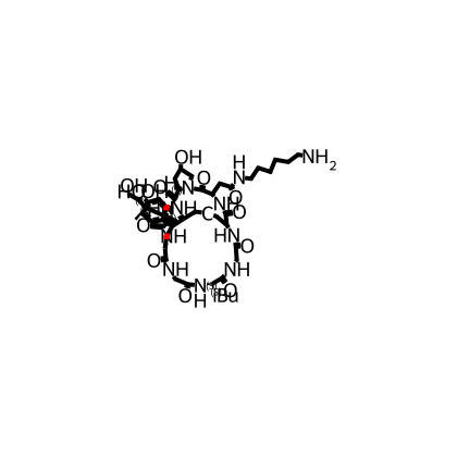 CC[C@H](C)[C@@H]1NC(=O)CNC(=O)C2Cc3c([nH]c4cc(O)ccc34)CCCC(NC(=O)CNC1=O)C(=O)NC(CC(=O)NCCCCCCN)C(=O)N1CC(O)C[C@H]1C(=O)N[C@@H]([C@@H](C)[C@@H](O)CO)C(=O)N2